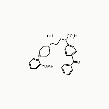 COc1ccccc1N1CCN(CCCN(C(=O)O)c2ccc(C(=O)c3ccccc3)cc2)CC1.Cl